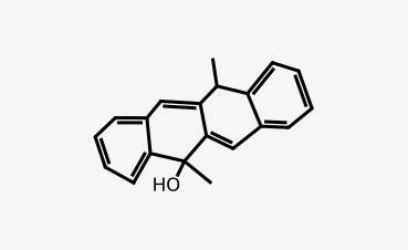 CC1C2=Cc3ccccc3C(C)(O)C2=Cc2ccccc21